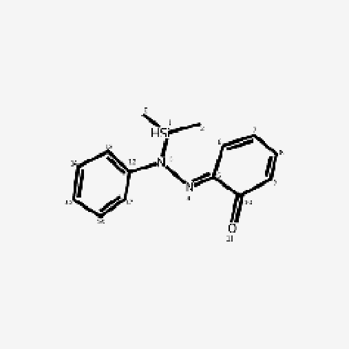 C[SiH](C)N(N=C1C=CC=CC1=O)c1ccccc1